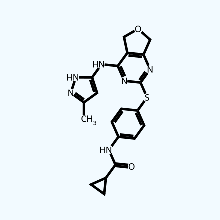 Cc1cc(Nc2nc(Sc3ccc(NC(=O)C4CC4)cc3)nc3c2COC3)[nH]n1